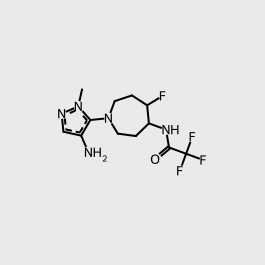 Cn1ncc(N)c1N1CCC(F)C(NC(=O)C(F)(F)F)CC1